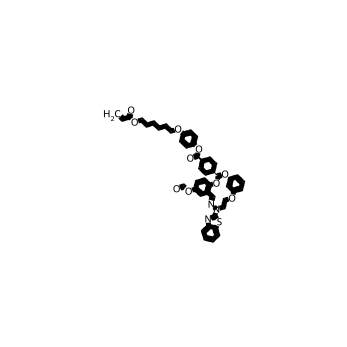 C=CC(=O)OCCCCCCOc1ccc(OC(=O)[C@H]2CC[C@H](C(=O)Oc3ccc(OC=O)cc3/C=N/N(CCOc3ccccc3)c3nc4ccccc4s3)CC2)cc1